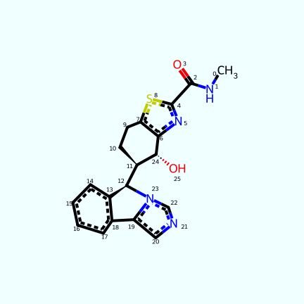 CNC(=O)c1nc2c(s1)CC[C@H]([C@@H]1c3ccccc3-c3cncn31)[C@H]2O